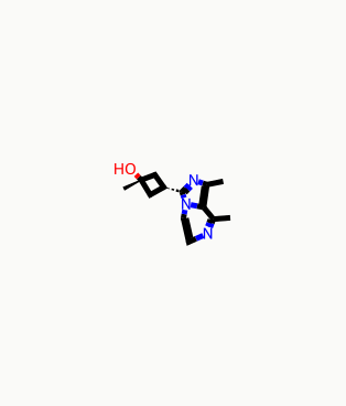 Cc1nccn2c1c(C)nc2[C@H]1C[C@@](C)(O)C1